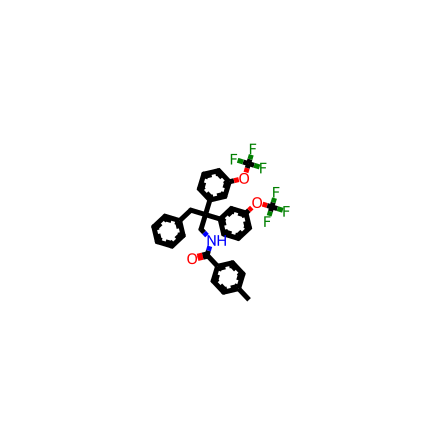 Cc1ccc(C(=O)NCC(Cc2ccccc2)(c2cccc(OC(F)(F)F)c2)c2cccc(OC(F)(F)F)c2)cc1